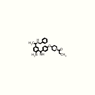 C=C(NCc1ccccc1)c1ccc(N)c(C(=N)c2ccc(OC3CCN(C(=O)CC)CC3)cc2)c1